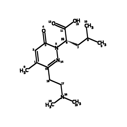 Cc1cc(=O)n([C@@H](CC(C)C)C(=O)O)nc1CCN(C)C